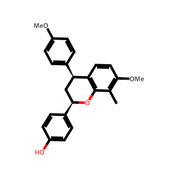 COc1ccc([C@@H]2C[C@H](c3ccc(O)cc3)Oc3c2ccc(OC)c3C)cc1